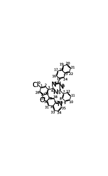 Clc1cc(-c2nc(-c3ccccc3)nc(-c3ccc4ccccc4c3)n2)c2c(c1)oc1cc3cccnc3cc12